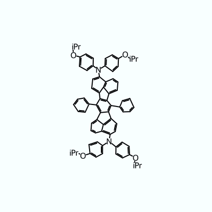 CC(C)Oc1ccc(N(c2ccc(OC(C)C)cc2)c2ccc3c4c(-c5ccccc5)c5c6cccc7c(N(c8ccc(OC(C)C)cc8)c8ccc(OC(C)C)cc8)ccc(c5c(-c5ccccc5)c4c4cccc2c43)c76)cc1